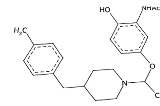 CC(=O)Nc1cc(OC(C)N2CCC(Cc3ccc(C)cc3)CC2)ccc1O